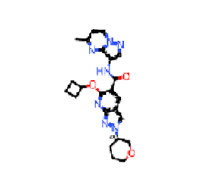 Cc1ccn2ncc(NC(=O)c3cc4cn([C@@H]5CCCOC5)nc4nc3OC3CCC3)c2n1